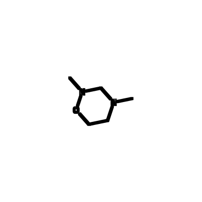 CN1CCON(C)C1